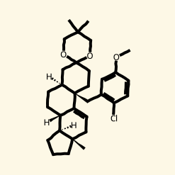 COc1ccc(Cl)c(C[C@]23CCC4(C[C@@H]2CC[C@@H]2C3=CC[C@]3(C)CCC[C@@H]23)OCC(C)(C)CO4)c1